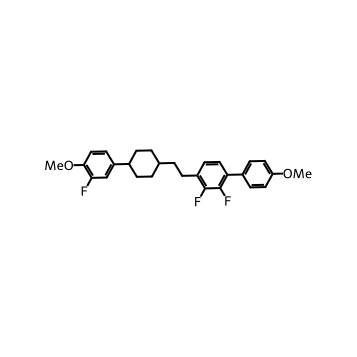 COc1ccc(-c2ccc(CCC3CCC(c4ccc(OC)c(F)c4)CC3)c(F)c2F)cc1